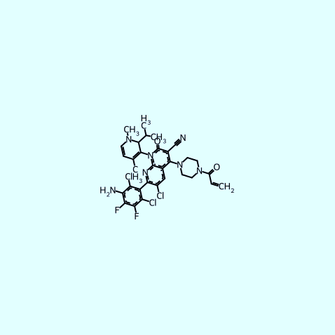 C=CC(=O)N1CCN(c2c(C#N)c(=O)n(C3=C(C)C=CN(C)C3C(C)C)c3nc(-c4c(Cl)c(N)c(F)c(F)c4Cl)c(Cl)cc23)CC1